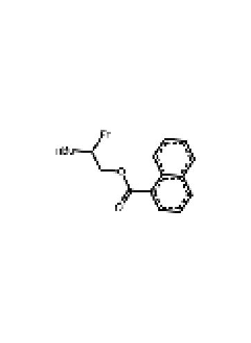 CCCCC(CC)COC(=O)c1cccc2ccccc12